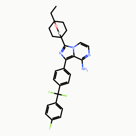 CCC12CCC(c3nc(-c4ccc(C(F)(F)c5ccc(F)cc5)cc4)c4c(N)nccn34)(CC1)CO2